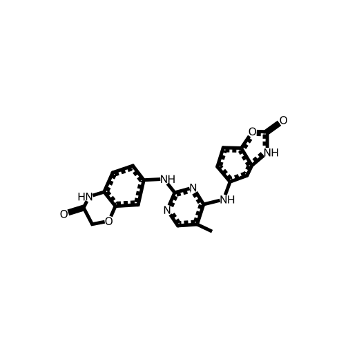 Cc1cnc(Nc2ccc3c(c2)OCC(=O)N3)nc1Nc1ccc2oc(=O)[nH]c2c1